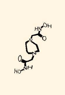 O=C(CN1CCN(CC(=O)NO)CC1)NO